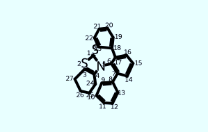 S=c1sc2c(n1-c1c(-c3ccccc3)cccc1-c1ccccc1)CCCC2